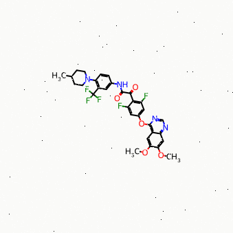 COc1cc2ncnc(Oc3cc(F)c(C(=O)C(=O)Nc4ccc(N5CCC(C)CC5)c(C(F)(F)F)c4)c(F)c3)c2cc1OC